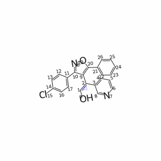 O/C=C(\c1cccnc1)c1c(-c2ccc(Cl)cc2)noc1-c1ccccc1